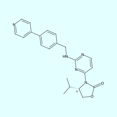 CC(C)[C@H]1COC(=O)N1c1ccnc(NCc2ccc(-c3ccncc3)cc2)n1